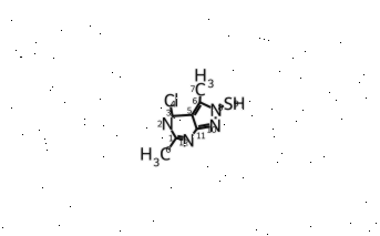 Cc1nc(Cl)c2c(C)n(S)nc2n1